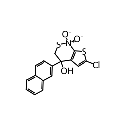 [O-][N+]1([O-])SCC(O)(c2ccc3ccccc3c2)c2cc(Cl)sc21